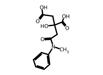 CN(C(=O)CC(O)(CC(=O)O)C(=O)O)c1ccccc1